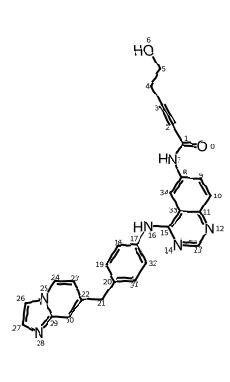 O=C(C#CCCO)Nc1ccc2ncnc(Nc3ccc(Cc4ccn5ccnc5c4)cc3)c2c1